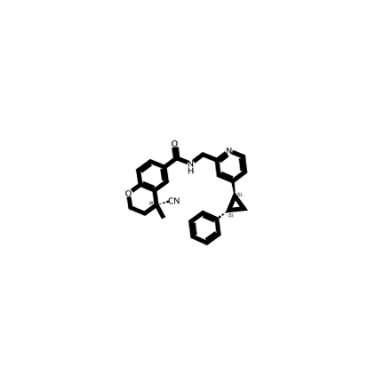 C[C@@]1(C#N)CCOc2ccc(C(=O)NCc3cc([C@H]4C[C@@H]4c4ccccc4)ccn3)cc21